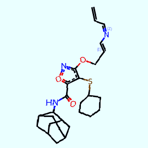 C=C/C=N\C=C\COc1noc(C(=O)NC2C3CC4CC(C3)CC2C4)c1SC1CCCCC1